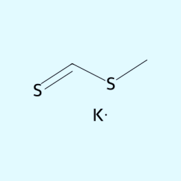 CSC=S.[K]